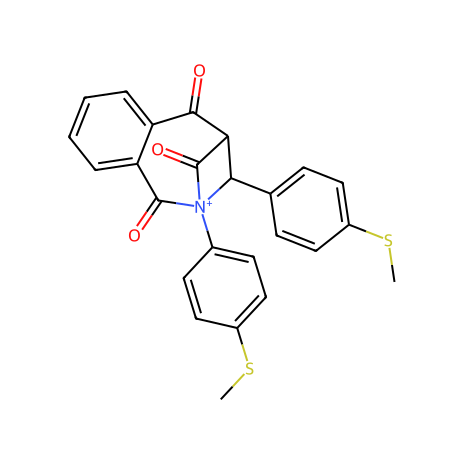 CSc1ccc(C2C3C(=O)c4ccccc4C(=O)[N+]2(c2ccc(SC)cc2)C3=O)cc1